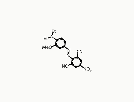 CCN(CC)c1ccc(N=Nc2c(C#N)cc([N+](=O)[O-])cc2C#N)cc1OC